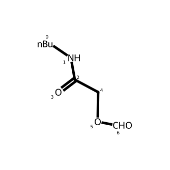 CCCCNC(=O)COC=O